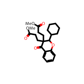 COC(=O)CCC1(CCC(=O)OC)C(=O)c2ccccc2OC1C1CCCCC1